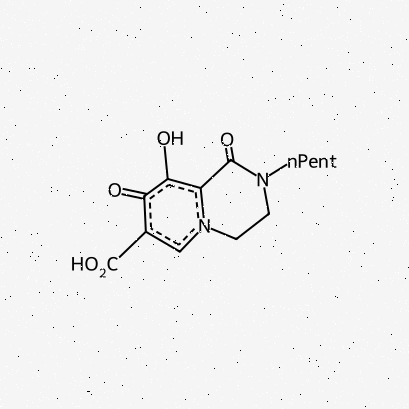 CCCCCN1CCn2cc(C(=O)O)c(=O)c(O)c2C1=O